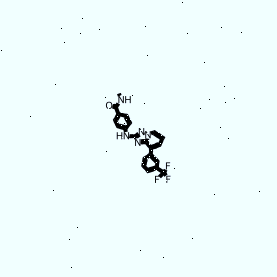 CNC(=O)c1ccc(Nc2nc3c(-c4cccc(C(F)(F)F)c4)cccn3n2)cc1